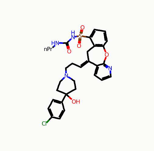 CCCNC(=O)NS(=O)(=O)c1cccc2c1CC(=CCCN1CCC(O)(c3ccc(Cl)cc3)CC1)c1cccnc1O2